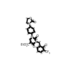 CCOC(=O)c1cn(-c2ccc(N3CCOC3=O)cc2)c(=O)n(Cc2cccc(C(F)(F)F)c2Cl)c1=O